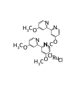 COc1ccnc(-c2cc(OC)ccn2)c1.COc1ccnc(-c2cc(OC)ccn2)c1.[Cl][Ru][Cl]